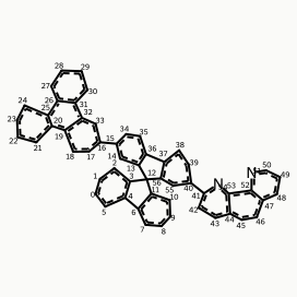 c1ccc2c(c1)-c1ccccc1C21c2cc(-c3ccc4c5ccccc5c5ccccc5c4c3)ccc2-c2ccc(-c3ccc4ccc5cccnc5c4n3)cc21